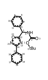 CC(C)(C)OC(=O)NC(c1ccccc1)c1nc(-c2ccccc2)no1